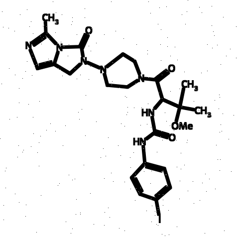 COC(C)(C)C(NC(=O)Nc1ccc(I)cc1)C(=O)N1CCN(N2Cc3cnc(C)n3C2=O)CC1